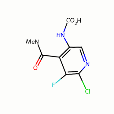 CNC(=O)c1c(NC(=O)O)cnc(Cl)c1F